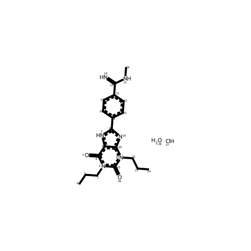 CCCn1c(=O)c2[nH]c(-c3ccc(C(=N)NC)cc3)nc2n(CCC)c1=O.Cl.O